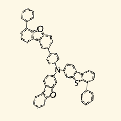 c1ccc(-c2cccc3c2oc2ccc(-c4ccc(N(c5ccc6c(c5)oc5ccccc56)c5ccc6c(c5)sc5c(-c7ccccc7)cccc56)cc4)cc23)cc1